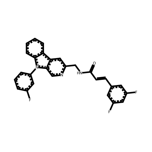 O=C(/C=C/c1cc(F)cc(F)c1)NCc1cc2c3ccccc3n(-c3cccc(F)c3)c2cn1